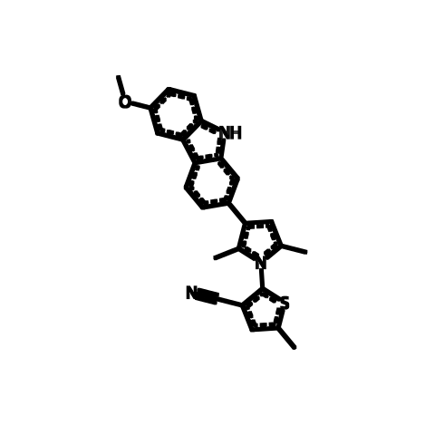 COc1ccc2[nH]c3cc(-c4cc(C)n(-c5sc(C)cc5C#N)c4C)ccc3c2c1